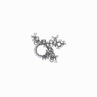 CC(C)n1c(O[C@@H]2C[C@H]3C(=O)N[C@]4(C(=O)NS(=O)(=O)N(C)C)C[C@H]4/C=C\CCCCC[C@H](NC(=O)OC(C)(C)C)C(=O)N3C2)nc2ccc(F)cc21